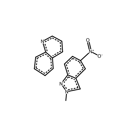 Cn1cc2cc([N+](=O)[O-])ccc2n1.c1ccc2ncccc2c1